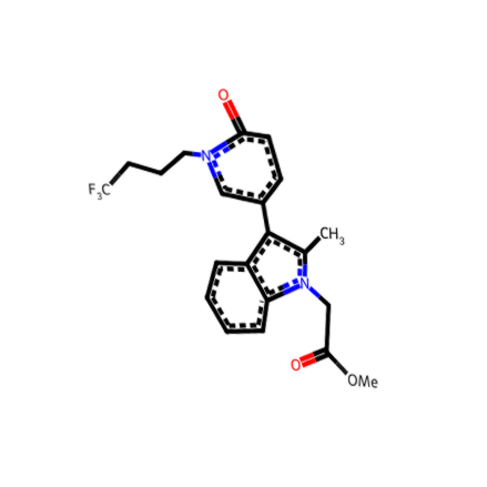 COC(=O)Cn1c(C)c(-c2ccc(=O)n(CCCC(F)(F)F)c2)c2ccccc21